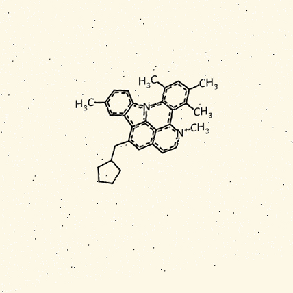 Cc1ccc2c(c1)c1c(CC3CCCC3)cc3cc[n+](C)c4c5c(C)c(C)cc(C)c5n2c1c34